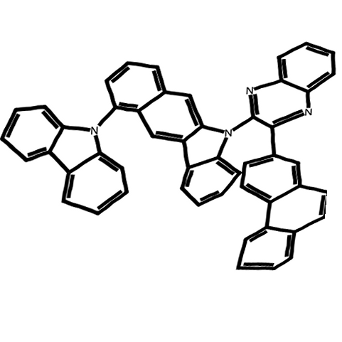 c1cc(-n2c3ccccc3c3ccccc32)c2cc3c4ccccc4n(-c4nc5ccccc5nc4-c4ccc5c(ccc6ccccc65)c4)c3cc2c1